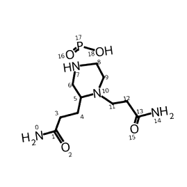 NC(=O)CCC1CNCCN1CCC(N)=O.O=PO